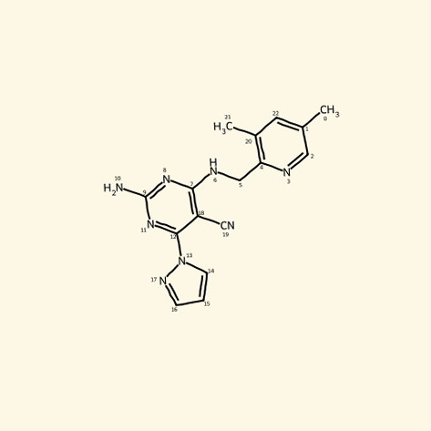 Cc1cnc(CNc2nc(N)nc(-n3cccn3)c2C#N)c(C)c1